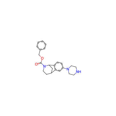 O=C(OCc1ccccc1)N1CCC2CC1c1ccc(N3CCNCC3)cc12